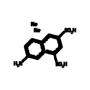 Nc1ccc2cc(S(=O)(=O)O)cc(S(=O)(=O)O)c2c1.[Na].[Na]